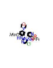 COc1cc(N2CCOCC2)ccc1Nc1ncc(Cl)c(Nc2cccnc2S(=O)(=O)C(C)C)n1